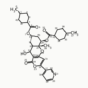 CC1CCC(C(=O)O[C@@H]2CC3C(O)c4c(cc(-c5cccnc5)oc4=O)O[C@@]3(C)[C@H](OC(=O)C3CCC(C)CC3)C2)CC1